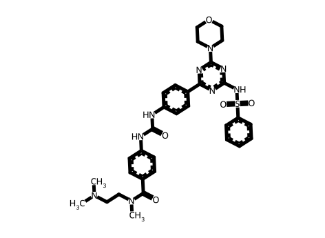 CN(C)CCN(C)C(=O)c1ccc(NC(=O)Nc2ccc(-c3nc(NS(=O)(=O)c4ccccc4)nc(N4CCOCC4)n3)cc2)cc1